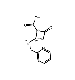 C[C@@H](Sc1ncccn1)[C@H]1CC(=O)N1C(=O)O